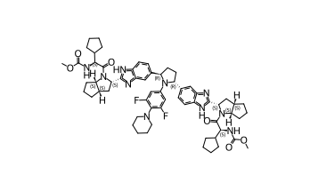 COC(=O)N[C@H](C(=O)N1[C@H](c2nc3cc([C@H]4CC[C@H](c5ccc6[nH]c([C@@H]7C[C@@H]8CCC[C@@H]8N7C(=O)[C@@H](NC(=O)OC)C7CCCC7)nc6c5)N4c4cc(F)c(N5CCCCC5)c(F)c4)ccc3[nH]2)C[C@@H]2CCC[C@@H]21)C1CCCC1